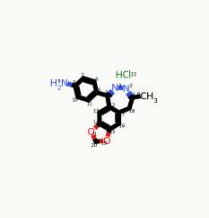 CC1=NN=C(c2ccc(N)cc2)c2cc3c(cc2C1)OCO3.Cl